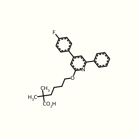 CC(C)(CCCCOc1cc(-c2ccc(F)cc2)cc(-c2ccccc2)n1)C(=O)O